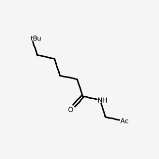 CC(=O)CNC(=O)CCCCC(C)(C)C